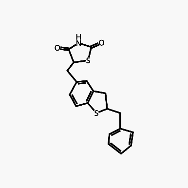 O=C1NC(=O)C(Cc2ccc3c(c2)CC(Cc2ccccc2)S3)S1